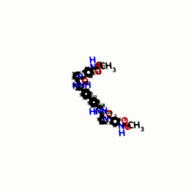 COC(=O)N[C@H]1CC[C@H](C(=O)N2CCC[C@H]2c2ncc(-c3ccc(-c4ccc(-c5cnc([C@@H]6CCCN6C(=O)[C@H]6CC[C@H](NC(=O)OC)CC6)[nH]5)cc4)cc3)[nH]2)CC1